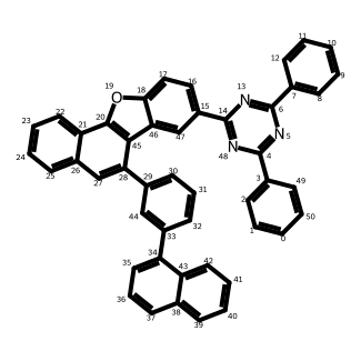 c1ccc(-c2nc(-c3ccccc3)nc(-c3ccc4oc5c6ccccc6cc(-c6cccc(-c7cccc8ccccc78)c6)c5c4c3)n2)cc1